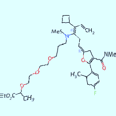 C=C/C(=C(\C/C=C1\CC(C(=O)NC)=C(C2=CC=C(F)CC2C)O1)N(CCCOCCOCCOC(C)C(=O)OCC)SC)C1CCC1